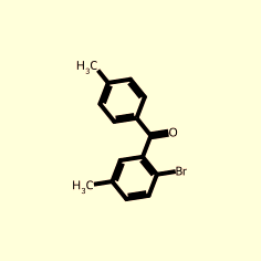 Cc1ccc(C(=O)c2cc(C)ccc2Br)cc1